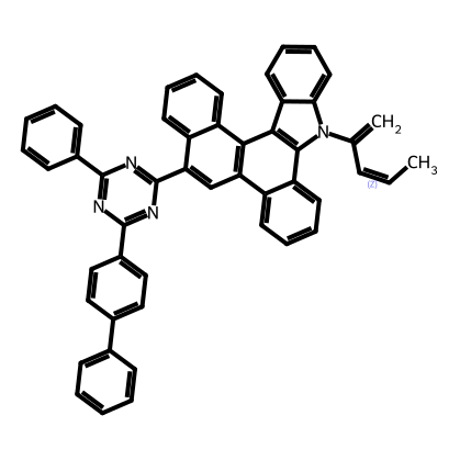 C=C(/C=C\C)n1c2ccccc2c2c3c4ccccc4c(-c4nc(-c5ccccc5)nc(-c5ccc(-c6ccccc6)cc5)n4)cc3c3ccccc3c21